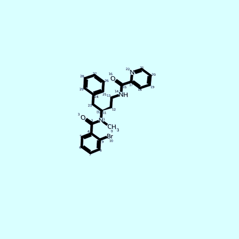 CN(C(=O)c1ccccc1Br)[C@H](CCNC(=O)c1ccccn1)Cc1ccccc1